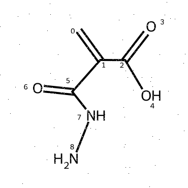 C=C(C(=O)O)C(=O)NN